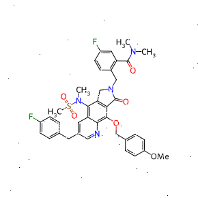 COc1ccc(COc2c3c(c(N(C)S(C)(=O)=O)c4cc(Cc5ccc(F)cc5)cnc24)CN(Cc2ccc(F)cc2C(=O)N(C)C)C3=O)cc1